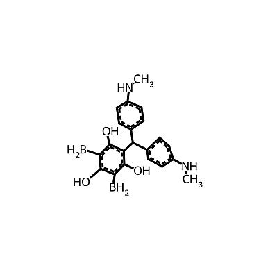 Bc1c(O)c(B)c(O)c(C(c2ccc(NC)cc2)c2ccc(NC)cc2)c1O